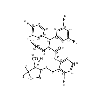 CC1(C)OCC(CCc2c(F)cncc2NC(=O)C(N=[N+]=[N-])C(c2ccc(F)cc2)c2cc(F)cc(F)c2)N1C(=O)O